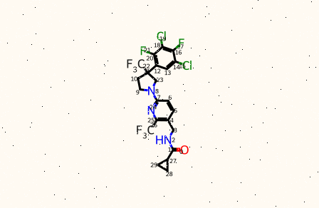 O=C(NCc1ccc(N2CCC(c3cc(Cl)c(F)c(Cl)c3F)(C(F)(F)F)C2)nc1C(F)(F)F)C1CC1